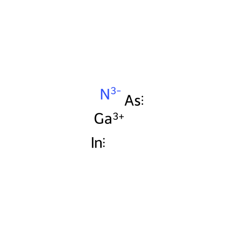 [As].[Ga+3].[In].[N-3]